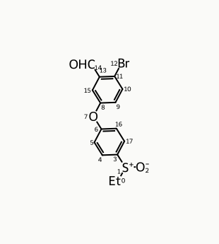 CC[S+]([O-])c1ccc(Oc2ccc(Br)c(C=O)c2)cc1